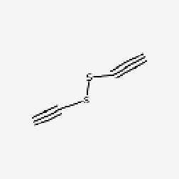 C#CSSC#C